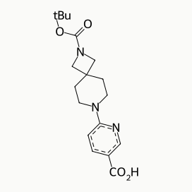 CC(C)(C)OC(=O)N1CC2(CCN(c3ccc(C(=O)O)cn3)CC2)C1